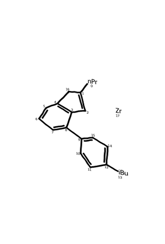 CCCC1=Cc2c(cccc2-c2ccc(C(C)CC)cc2)[CH]1.[Zr]